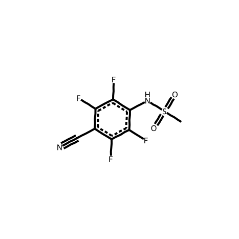 CS(=O)(=O)Nc1c(F)c(F)c(C#N)c(F)c1F